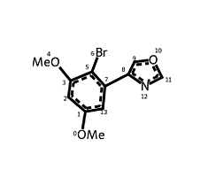 COc1cc(OC)c(Br)c(-c2cocn2)c1